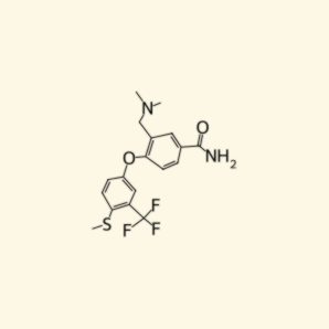 CSc1ccc(Oc2ccc(C(N)=O)cc2CN(C)C)cc1C(F)(F)F